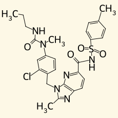 CCCNC(=O)N(C)c1ccc(Cn2c(C)nc3ccc(C(=O)NS(=O)(=O)c4ccc(C)cc4)nc32)c(Cl)c1